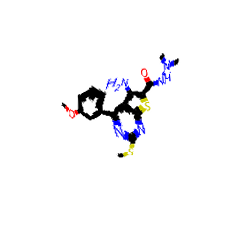 COc1cccc(-c2nc(SC)nc3sc(C(=O)NN(C)C)c(N)c23)c1